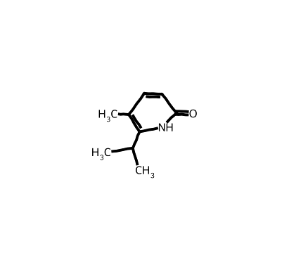 Cc1ccc(=O)[nH]c1C(C)C